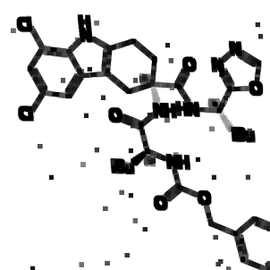 CCC(C)[C@H](NC(=O)OCc1ccccc1)C(=O)N[C@@]1(C(=O)N[C@H](c2nnco2)C(C)CC)CCc2[nH]c3c(Cl)cc(Cl)cc3c2C1